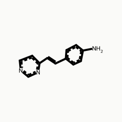 Nc1ccc(/C=C/c2ccncn2)cc1